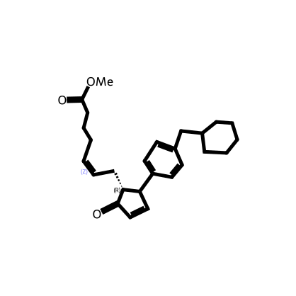 COC(=O)CCC/C=C\C[C@H]1C(=O)C=CC1c1ccc(CC2CCCCC2)cc1